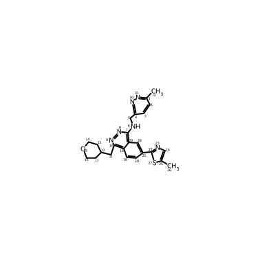 Cc1ccc(CNc2nnc(CC3CCOCC3)c3ccc(-c4ncc(C)s4)cc23)nn1